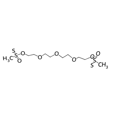 CS(=O)(=S)OCCOCCOCCOCCOS(C)(=O)=S